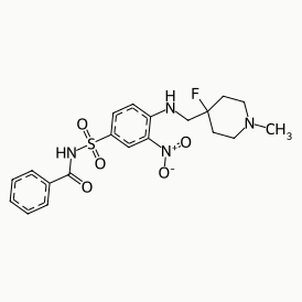 CN1CCC(F)(CNc2ccc(S(=O)(=O)NC(=O)c3ccccc3)cc2[N+](=O)[O-])CC1